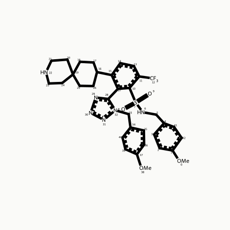 COc1ccc(CNS(=O)(=O)c2c(C(F)(F)F)ccc(C3CCC4(CCNCC4)CC3)c2-c2nnnn2Cc2ccc(OC)cc2)cc1